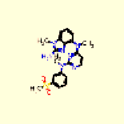 CN(c1cccc(S(C)(=O)=O)c1)c1nccc(N(C)c2cccc3c2nc(N)n3C)n1